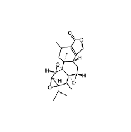 CC1C[C@@]2(C)[C@@H](C[C@@H]3O[C@@]34C(C)[C@@]3(C(C)C)O[C@H]3[C@@H]3O[C@]324)C2=C1C(=O)OC2